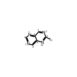 Ic1ncc2ncncc2n1